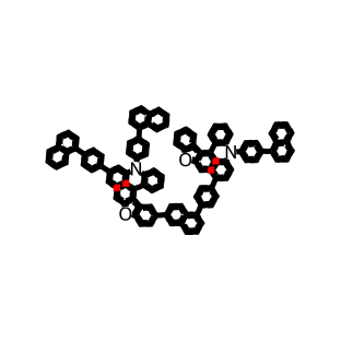 c1cc(-c2ccc(-c3cccc4ccccc34)cc2)cc(N(c2ccc(-c3cccc4ccccc34)cc2)c2ccccc2-c2cccc3oc4ccc(-c5ccc6c(-c7ccc(-c8ccc(N(c9ccc(-c%10cccc%11ccccc%10%11)cc9)c9ccccc9-c9cccc%10oc%11ccccc%11c9%10)cc8)cc7)cccc6c5)cc4c23)c1